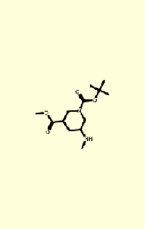 CNC1CC(C(=O)OC)CN(C(=O)OC(C)(C)C)C1